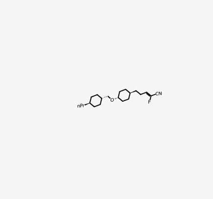 CCC[C@H]1CC[C@H](CO[C@H]2CC[C@H](CCC=C(F)C#N)CC2)CC1